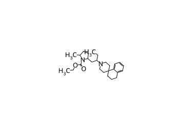 CCOC(=O)N1C(C)CCC1CC(CC)N1CCC2(CCCc3ccccc32)CC1